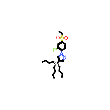 CCC[CH2][Sn]([CH2]CCC)([CH2]CCC)[c]1cnn(-c2ccc(S(=O)(=O)CC)cc2F)c1